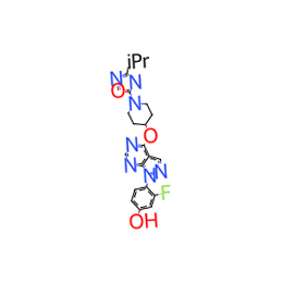 CC(C)c1noc(N2CCC(Oc3ncnc4c3cnn4-c3ccc(O)cc3F)CC2)n1